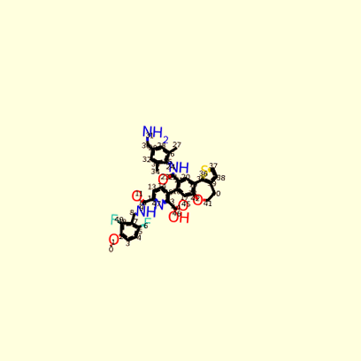 COc1ccc(F)c(CNC(=O)c2ccc(-c3cc4c(cc3C(=O)Nc3c(C)cc(CN)cc3C)-c3sccc3CCO4)c(C(=O)O)n2)c1F